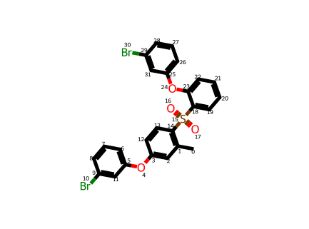 Cc1cc(Oc2cccc(Br)c2)ccc1S(=O)(=O)c1ccccc1Oc1cccc(Br)c1